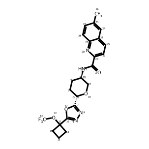 O=C(N[C@@H]1CC[C@@H](c2nnc(C3(OC(F)(F)F)CCC3)o2)OC1)c1ccc2cc(C(F)(F)F)ccc2n1